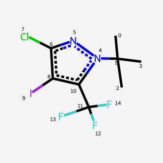 CC(C)(C)n1nc(Cl)c(I)c1C(F)(F)F